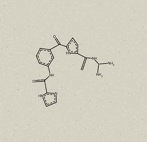 C=C(NC(N)N)c1ccc(C(=O)c2cccc(NC(=O)c3ncc[nH]3)c2)[nH]1